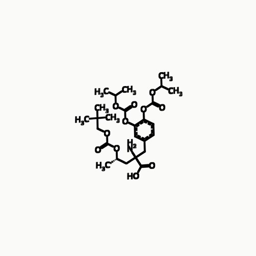 CC(C)OC(=O)Oc1ccc(CC(N)(C[C@H](C)OC(=O)OCC(C)(C)C)C(=O)O)cc1OC(=O)OC(C)C